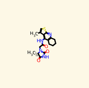 Cc1csc2nc3c(c(NC(=O)CN4C(=O)NC(=O)[C@@H]4C)c12)CCCC3